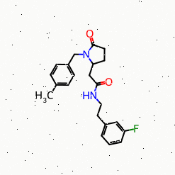 Cc1ccc(CN2C(=O)CCC2CC(=O)NCCc2cccc(F)c2)cc1